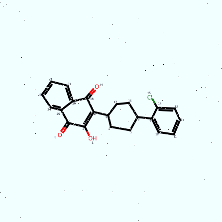 O=C1C(O)=C(C2CCC(c3ccccc3Cl)CC2)C(=O)c2ccccc21